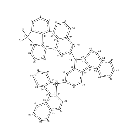 CC1(C)c2ccccc2-c2c(-c3nc(-n4c5cc(-n6c7ccccc7c7c8ccccc8ccc76)ccc5c5c6ccccc6ccc54)nc4ccccc34)cccc21